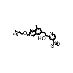 Cc1cc(CC(O)c2cc([N+](=O)[O-])ccn2)cc2cn(COCC[Si](C)(C)C)nc12